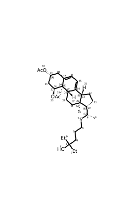 CCC(O)(CC)CCCS[C@@H](C)[C@H]1CC[C@H]2C3=CC=C4C[C@@H](OC(C)=O)C[C@H](OC(C)=O)[C@]4(C)[C@H]3CC[C@]12C